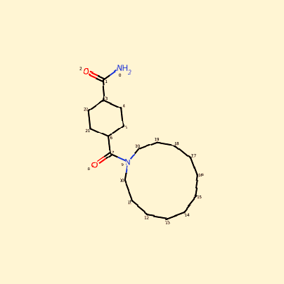 NC(=O)C1CCC(C(=O)N2CCCCCCCCCCC2)CC1